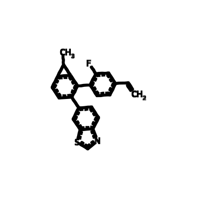 C=Cc1ccc(-c2c(-c3ccc4ncsc4c3)ccc3c2C3C)c(F)c1